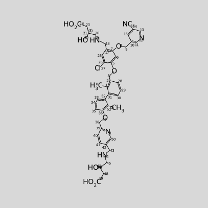 Cc1c(COc2cc(OCc3cncc(C#N)c3)c(CNC[C@@H](O)CC(=O)O)cc2Cl)cccc1-c1cccc(OCc2ccc(CNC[C@@H](O)CC(=O)O)cn2)c1C